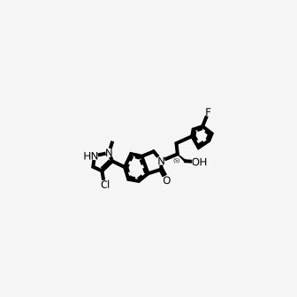 CN1NCC(Cl)=C1c1ccc2c(c1)CN([C@H](CO)Cc1cccc(F)c1)C2=O